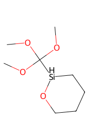 COC(OC)(OC)[SiH]1CCCCO1